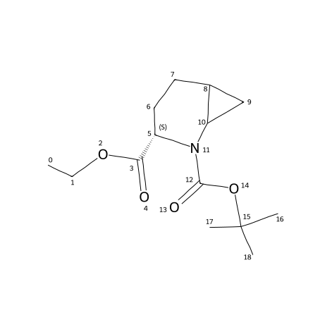 CCOC(=O)[C@@H]1CCC2CC2N1C(=O)OC(C)(C)C